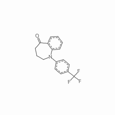 O=C1CCCN(c2ccc(C(F)(F)F)cc2)c2ccccc21